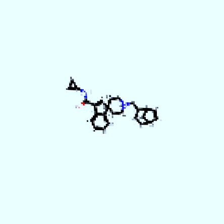 O=C(NC1CC1)C1=CC2(CCN(CC3CCC4C=CC3C4)CC2)c2ccccc21